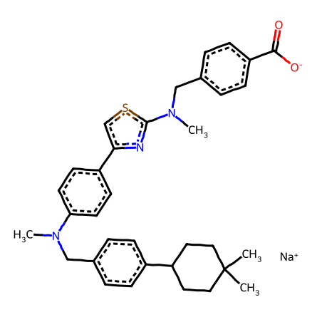 CN(Cc1ccc(C2CCC(C)(C)CC2)cc1)c1ccc(-c2csc(N(C)Cc3ccc(C(=O)[O-])cc3)n2)cc1.[Na+]